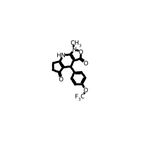 Cn1oc(=O)c2c1NC1=C(C(=O)CC1)C2c1ccc(OC(F)(F)F)cc1